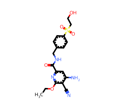 CCOc1nc(C(=O)NCc2ccc(S(=O)(=O)CCO)cc2)cc(N)c1C#N